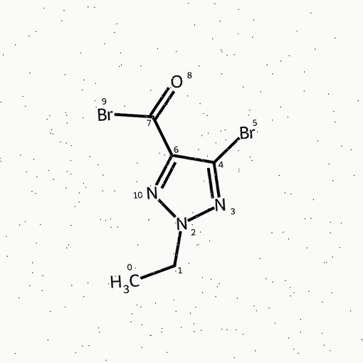 CCn1nc(Br)c(C(=O)Br)n1